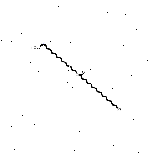 CCCCCCCC/C=C\CCCCCCCCCCCCOC(=O)CCCCCCCCCCCCCCC(C)C